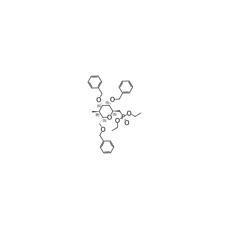 CCOP(=O)(C[C@H]1O[C@H](COCc2ccccc2)[C@@H](C)[C@H](OCc2ccccc2)[C@@H]1OCc1ccccc1)OCC